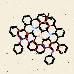 CC(C)(C)c1cc2c3c(c1)N(c1c(-c4ccccc4)cccc1-c1ccccc1)c1cc(N(c4ccccc4)c4ccccc4)nc(-c4ccccc4)c1B3c1c(cc(N(c3ccccc3)c3ccccc3)nc1-c1ccccc1)N2c1c(-c2ccccc2)cccc1-c1ccccc1